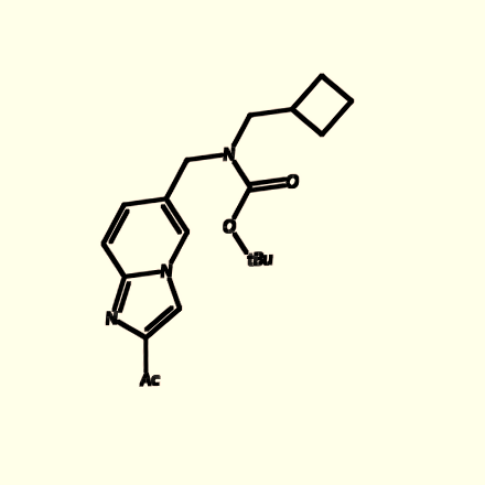 CC(=O)c1cn2cc(CN(CC3CCC3)C(=O)OC(C)(C)C)ccc2n1